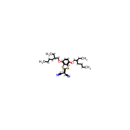 CCCCC(CC)COc1ccc(OCC(CC)CCCC)c2c1SC(=C(C#N)C#N)S2